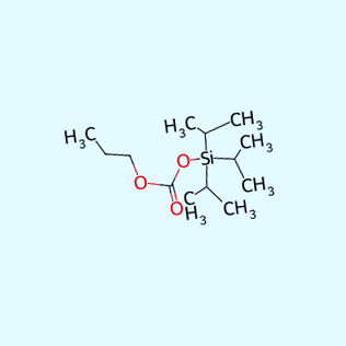 CCCOC(=O)O[Si](C(C)C)(C(C)C)C(C)C